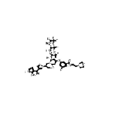 N#CCC(CN1CCC(Oc2cc(F)cc(C(=O)NCCN3CCOCC3)c2)CC1)n1cc(-c2ncnc3[nH]ccc23)cn1.O=C(O)C(F)(F)F.O=C(O)C(F)(F)F.O=C(O)C(F)(F)F